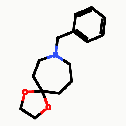 c1ccc(CN2CCCC3(CC2)OCCO3)cc1